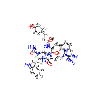 CCCCCCN(CC(Cc1c[nH]c2ccccc12)NC(=O)C(CCCNC(=N)N)NC(=O)C(Cc1ccccc1)NC(=O)[CH]Cc1ccc(O)cc1)C(N)=O